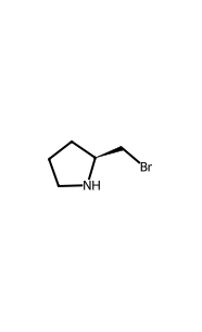 BrC[C@@H]1CCCN1